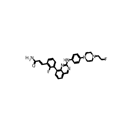 NC(=O)C=Cc1cccc(-c2cccc3cnc(Nc4ccc(N5CCN(CCF)CC5)cc4)nc23)c1F